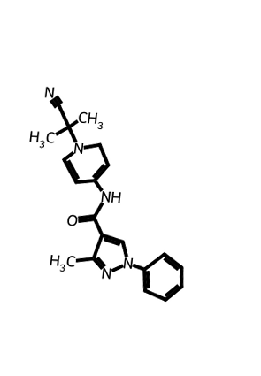 Cc1nn(-c2ccccc2)cc1C(=O)NC1=CCN(C(C)(C)C#N)C=C1